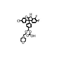 O=C(O)OC(OCCN1CCOCC1)c1ccc(C2(c3ccc(Cl)cc3)C(=O)Nc3c2ccc(F)c3F)cc1